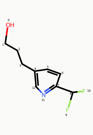 OCCCc1ccc(C(F)F)nc1